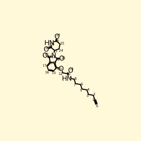 C#CCCCCCCCNC(=O)COc1cccc2c1C(=O)N(C1CCC(=O)NC1=O)C2=O